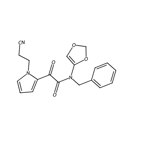 N#CCCn1cccc1C(=O)C(=O)N(Cc1ccccc1)C1=COCO1